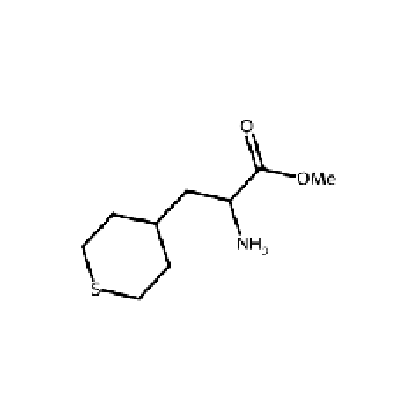 COC(=O)C(N)CC1CCSCC1